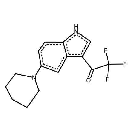 O=C(c1c[nH]c2ccc(N3CCCCC3)cc12)C(F)(F)F